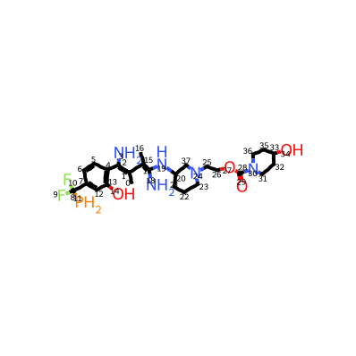 CC(=C(/N)c1ccc(C(F)(F)P)cc1O)/C(C)=C(\N)NC1CCCN(CCOC(=O)N2CCC(O)CC2)C1